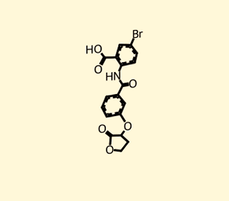 O=C(Nc1ccc(Br)cc1C(=O)O)c1cccc(OC2CCOC2=O)c1